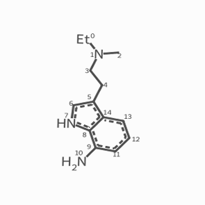 CCN(C)CCc1c[nH]c2c(N)cccc12